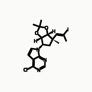 C/C(I)=C\[C@@]1(C)C[C@@H](n2ccc3c(Cl)ncnc32)[C@@H]2OC(C)(C)O[C@@H]21